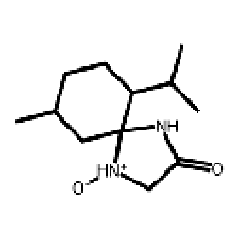 CC1CCC(C(C)C)C2(C1)NC(=O)C[NH+]2[O-]